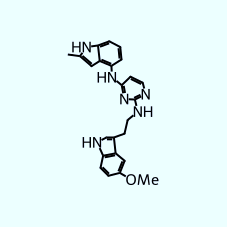 COc1ccc2[nH]cc(CCNc3nccc(Nc4cccc5[nH]c(C)cc45)n3)c2c1